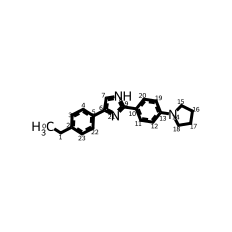 CCc1ccc(-c2c[nH]c(-c3ccc(N4CCCC4)cc3)n2)cc1